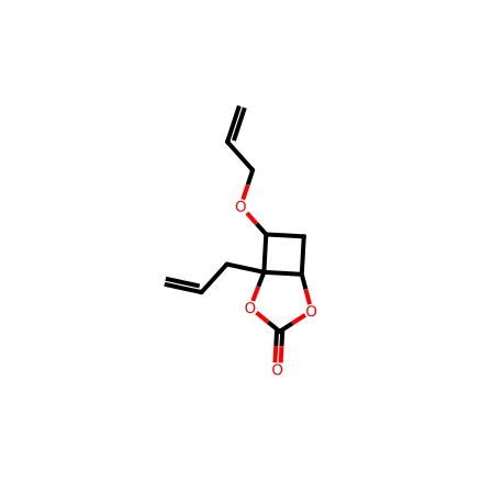 C=CCOC1CC2OC(=O)OC12CC=C